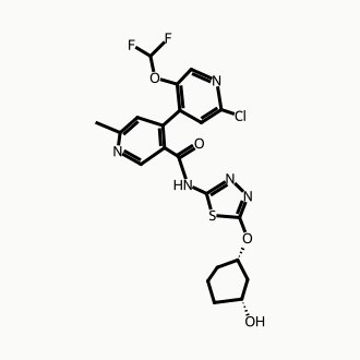 Cc1cc(-c2cc(Cl)ncc2OC(F)F)c(C(=O)Nc2nnc(O[C@H]3CCC[C@@H](O)C3)s2)cn1